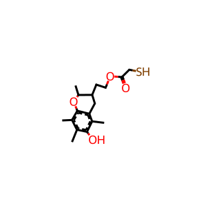 Cc1c(C)c2c(c(C)c1O)CC(CCOC(=O)CS)C(C)O2